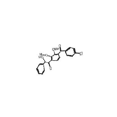 COc1c(C(=O)c2ccc(Cl)cc2)ccc(C(=O)C(O)c2ccccc2)c1OC